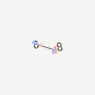 O=S(=O)(NCCCCCCOc1cccc2nccn12)c1cccc2ccccc12